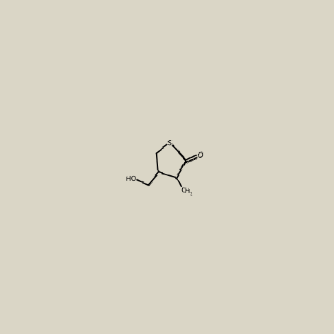 CC1C(=O)SCC1CO